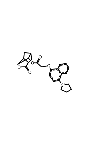 O=C(COc1ccc([S+]2CCCC2)c2ccccc12)OC1C2CC3C(=O)OC1C3C2